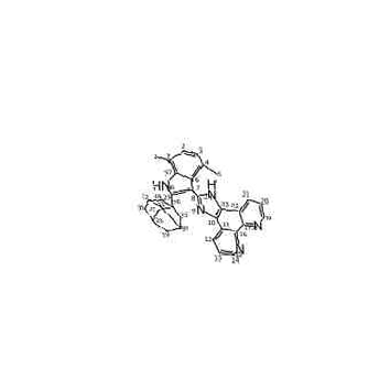 Cc1ccc(C)c2c(-c3nc4c5cccnc5c5ncccc5c4[nH]3)c(C34CC5CC(CC(C5)C3)C4)[nH]c12